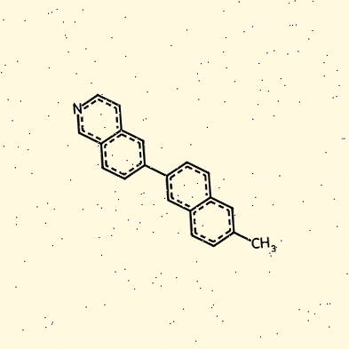 Cc1ccc2cc(-c3ccc4cnccc4c3)ccc2c1